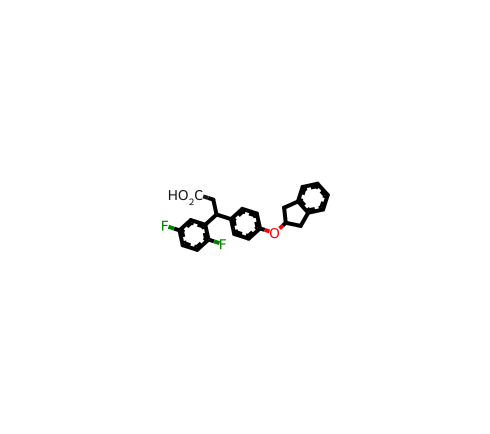 O=C(O)CC(c1ccc(OC2Cc3ccccc3C2)cc1)c1cc(F)ccc1F